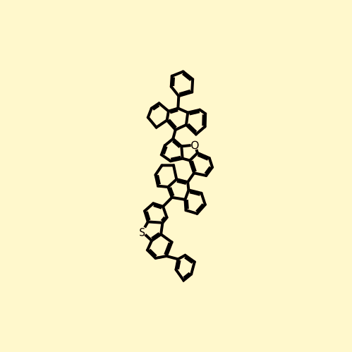 C1=Cc2c(c(-c3cccc4c3oc3cccc(-c5c6c(c(-c7ccc8sc9ccc(-c%10ccccc%10)cc9c8c7)c7ccccc57)C=CCC6)c34)c3ccccc3c2-c2ccccc2)CC1